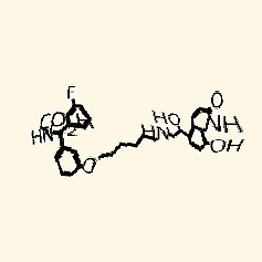 O=C(O)NC(c1cccc(F)c1)c1cccc(OCCCCCCNC[C@@H](O)c2ccc(O)c3[nH]c(=O)ccc23)c1